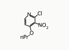 CCCOc1ccnc(Cl)c1[N+](=O)[O-]